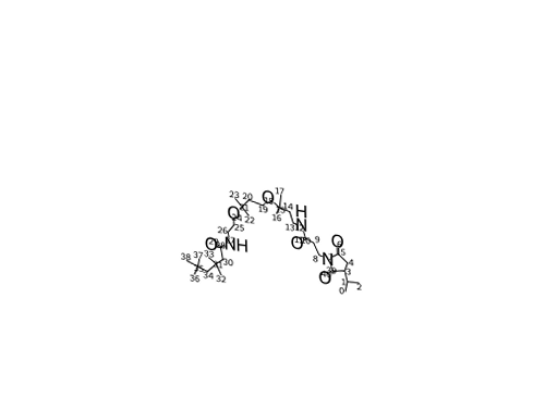 CC(C)C1CC(=O)N(CCC(=O)NCCC(C)(C)OCCC(C)(C)OCCNC(=O)CC(C)(C)CC(C)(C)C)C1=O